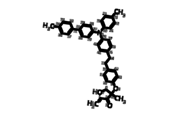 C=CC(=O)C(C)(CO)Oc1ccc(CCc2ccc(N(c3ccc(C)cc3)c3ccc(-c4ccc(C)cc4)cc3)cc2)cc1